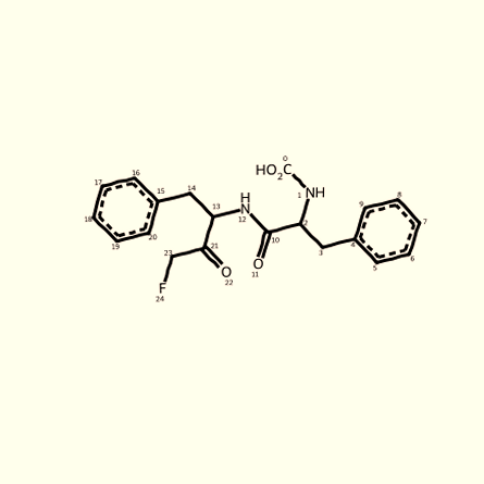 O=C(O)NC(Cc1ccccc1)C(=O)NC(Cc1ccccc1)C(=O)CF